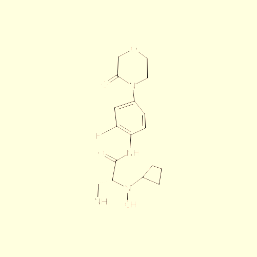 CN(C1CCC1)[C@H](CN)C(=O)Nc1ccc(N2CCOCC2=O)cc1F